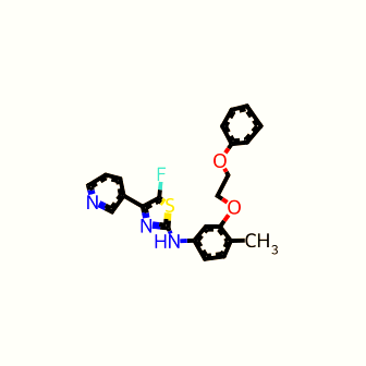 Cc1ccc(Nc2nc(-c3cccnc3)c(F)s2)cc1OCCOc1ccccc1